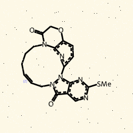 CSc1ncc2c(=O)n3n(c2n1)-c1ccc2c(n1)N(CCC/C=C\C3)C(=O)CO2